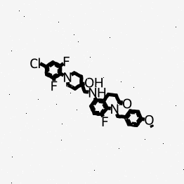 COc1ccc(CN2C(=O)CCc3c(NCC4(O)CCN(c5c(F)cc(Cl)cc5F)CC4)ccc(F)c32)cc1